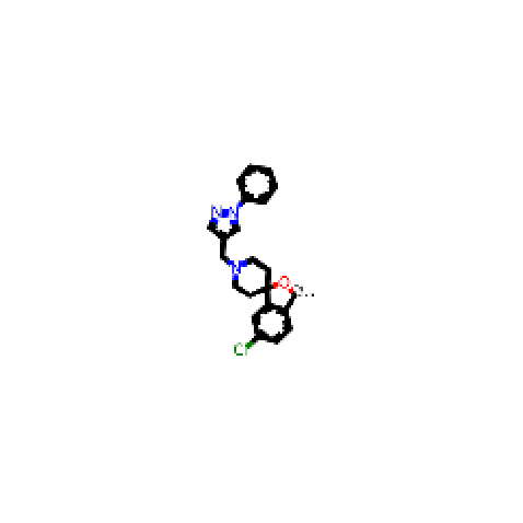 C[C@H]1OC2(CCN(Cc3cnn(-c4ccccc4)c3)CC2)c2cc(Cl)ccc21